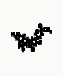 CC(=O)C1CC=C(c2cc(NCc3cc(C)ccc3OC(F)F)c(C=O)cc2F)CO1